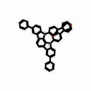 c1ccc(-c2ccc(-n3c4ccc(-c5ccccc5)cc4c4ccc5c6cc(-c7ccccc7)ccc6n(-c6ccc(-c7ccccc7)cc6)c5c43)cc2)cc1